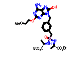 CCOC(=O)[C@H](C)NP(=O)(Cc1cccc(Cn2c(O)nc3c(N)nc(OCCOC)nc32)c1)N[C@@H](C)C(=O)OCC